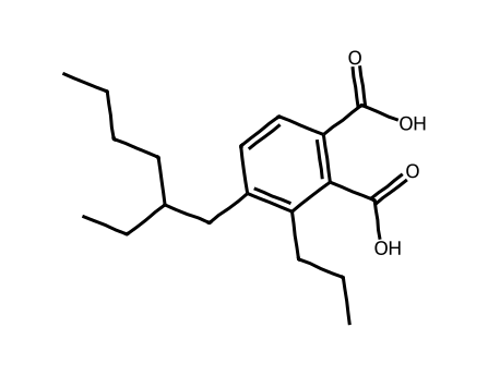 CCCCC(CC)Cc1ccc(C(=O)O)c(C(=O)O)c1CCC